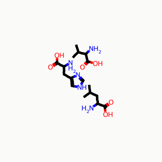 CC(C)C(N)C(=O)O.CC(C)CC(N)C(=O)O.NC(Cc1c[nH]cn1)C(=O)O